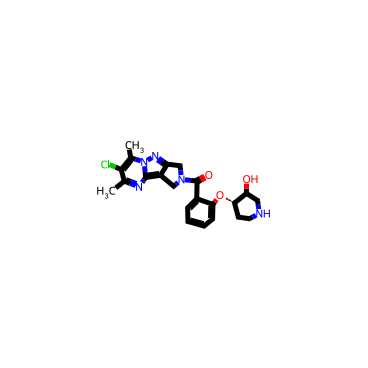 Cc1nc2c3c(nn2c(C)c1Cl)CN(C(=O)c1ccccc1O[C@H]1CCNCC1O)C3